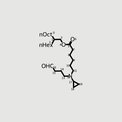 CCCCCCCCC(CCCCCC)COC(=O)CCCCCN(CCCC=O)C1CC1